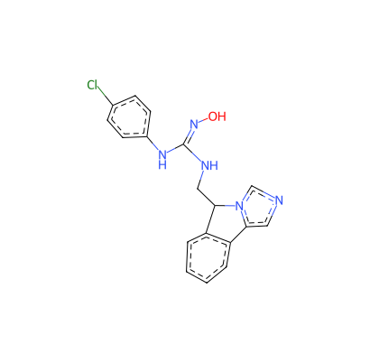 O/N=C(\NCC1c2ccccc2-c2cncn21)Nc1ccc(Cl)cc1